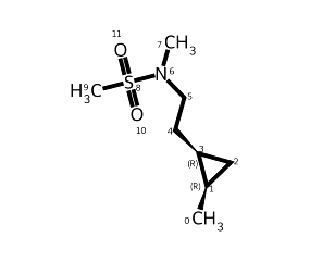 C[C@@H]1C[C@@H]1CCN(C)S(C)(=O)=O